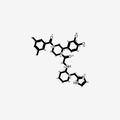 Cc1cc(C)cc(C(=O)N2CCN(C(=O)CNC3CCCCN3Cc3ncc[nH]3)C(c3ccc(Cl)c(Cl)c3)C2)c1